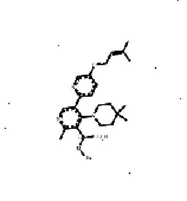 CC(C)=CCOc1ccc(-c2cnc(C)c([C@H](OC(C)(C)C)C(=O)O)c2N2CCC(C)(C)CC2)nc1